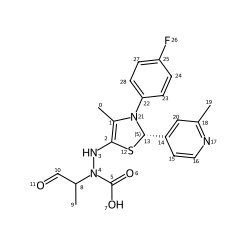 CC1=C(NN(C(=O)O)C(C)C=O)S[C@@H](c2ccnc(C)c2)N1c1ccc(F)cc1